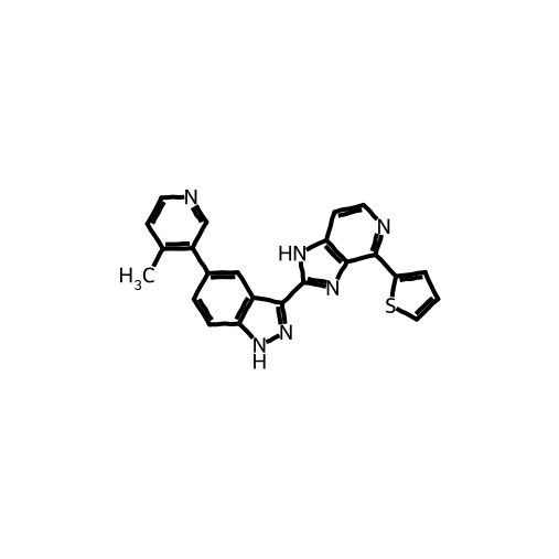 Cc1ccncc1-c1ccc2[nH]nc(-c3nc4c(-c5cccs5)nccc4[nH]3)c2c1